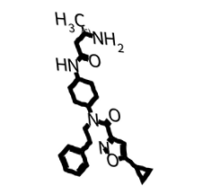 C[C@H](N)CC(=O)NC1CCC(N(CCc2ccccc2)C(=O)c2cc(C3CC3)on2)CC1